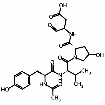 CC(=O)N[C@@H](Cc1ccc(O)cc1)C(=O)N[C@H](C(=O)N1CC(O)C[C@H]1C(=O)NC(C=O)CC(=O)O)C(C)C